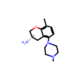 Cc1ccc(N2CCN(C)CC2)c2c1OC[C@@H](N)C2